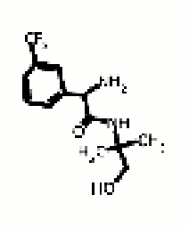 CC(C)(CO)NC(=O)C(N)c1cccc(C(F)(F)F)c1